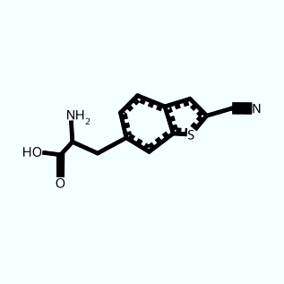 N#Cc1cc2ccc(CC(N)C(=O)O)cc2s1